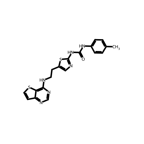 Cc1ccc(NC(=O)Nc2ncc(CCNc3ncnc4ccsc34)s2)cc1